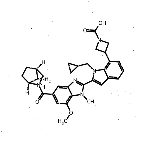 COc1cc(C(=O)N2C[C@H]3CC[C@@H]2[C@@H]3N)cc2nc(-c3cc4cccc(C5CN(C(=O)O)C5)c4n3CC3CC3)n(C)c12